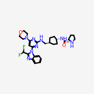 O=C(N[C@H]1CC[C@H](CNc2nc(N3CCOCC3)cc(-n3c(C(F)F)nc4ccccc43)n2)CC1)[C@@H]1CCCN1